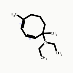 C[CH2][Pt]([CH2]C)[C]1(C)/C=C\C=C(\C)CCC1